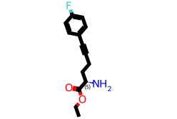 CCOC(=O)[C@@H](N)CCC#Cc1ccc(F)cc1